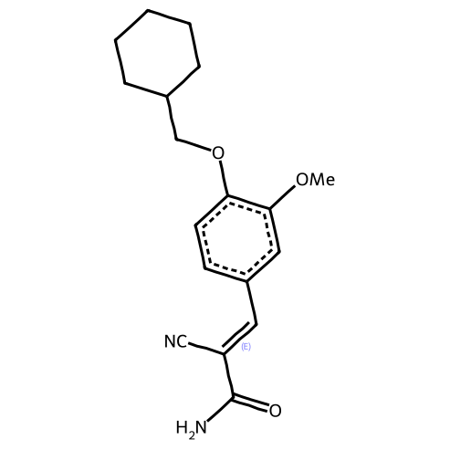 COc1cc(/C=C(\C#N)C(N)=O)ccc1OCC1CCCCC1